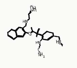 CBCC1=CC(NCCN)=C(C(C)(C)C(C)Oc2cc3c(cc2CNCCO)CCC=C3)CC1